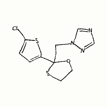 Clc1ccc(C2(Cn3cncn3)OCCS2)s1